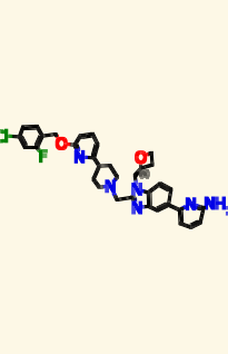 Nc1cccc(-c2ccc3c(c2)nc(CN2CCC(c4cccc(OCc5ccc(Cl)cc5F)n4)CC2)n3C[C@@H]2CCO2)n1